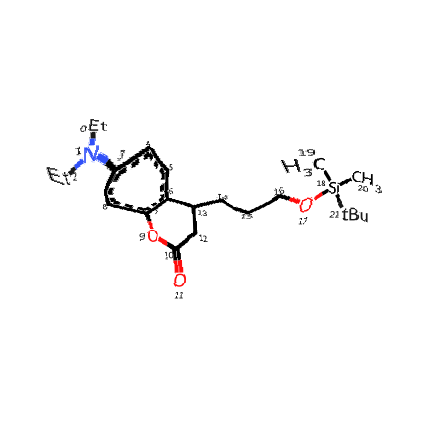 CCN(CC)c1ccc2c(c1)OC(=O)CC2CCCO[Si](C)(C)C(C)(C)C